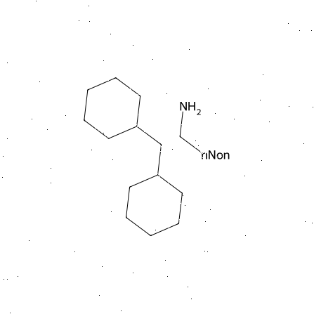 C1CCC(CC2CCCCC2)CC1.CCCCCCCCCCN